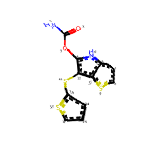 NC(=O)Oc1[nH]c2ccsc2c1Sc1cccs1